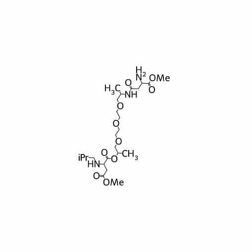 COC(=O)CC(NCC(C)C)C(=O)OC(C)COCCOCCOCC(C)NC(=O)CC(N)C(=O)OC